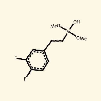 CO[Si](O)(CCc1ccc(F)c(F)c1)OC